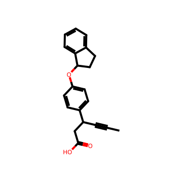 CC#CC(CC(=O)O)c1ccc(OC2CCc3ccccc32)cc1